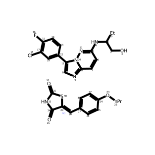 CCC(CO)Nc1ccc2ncc(-c3ccc(F)c(Cl)c3)n2n1.CCCOc1ccc(/C=C2\SC(=O)NC2=O)cc1